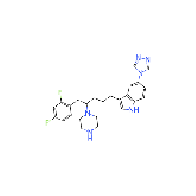 Fc1ccc(CC(CCCc2c[nH]c3ccc(-n4cnnc4)cc23)N2CCNCC2)c(F)c1